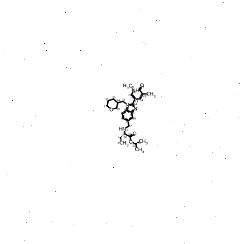 CC[C@H](NCc1ccc2c(c1)nc(C(/C=C(/C)C=O)=C/NC)n2CC1CCCOC1)C(=O)OC(C)C